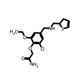 CCOc1cc(CNCC2CC=CS2)cc(Cl)c1OCC(N)=O